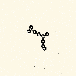 c1ccc(-c2nc(-c3ccc(-c4ccc(-n5c6ccccc6c6ccccc65)cc4)cc3)nc(-c3ccc(-c4ccc5ccccc5c4)cc3)n2)cc1